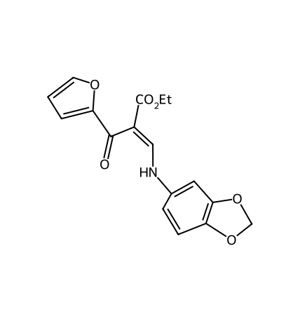 CCOC(=O)C(=CNc1ccc2c(c1)OCO2)C(=O)c1ccco1